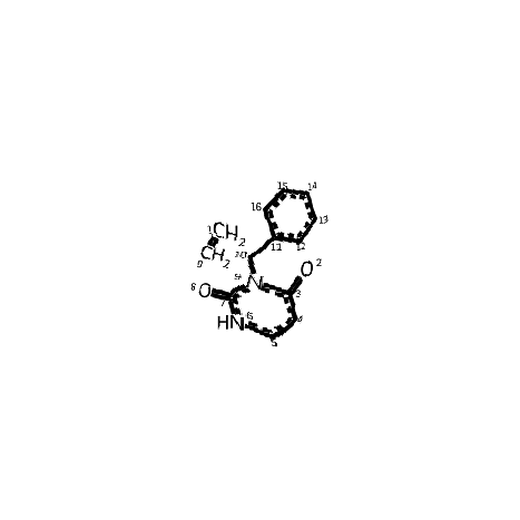 C=C.O=c1cc[nH]c(=O)n1Cc1ccccc1